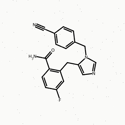 N#Cc1ccc(Cn2cncc2Cc2cc(F)ccc2C(N)=O)cc1